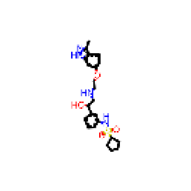 Cc1n[nH]c2cc(OCCNCC(O)c3cccc(NS(=O)(=O)C4CCCC4)c3)ccc12